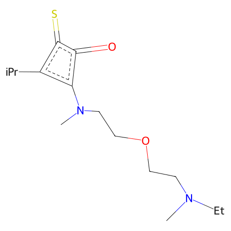 CCN(C)CCOCCN(C)c1c(C(C)C)c(=S)c1=O